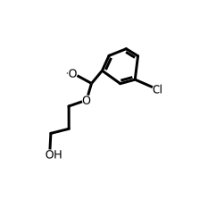 [O]C(OCCCO)c1cccc(Cl)c1